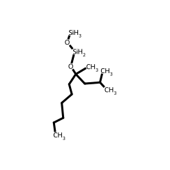 CCCCCCC(C)(CC(C)C)O[SiH2]O[SiH3]